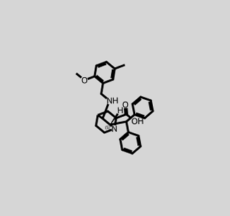 COc1ccc(C)cc1CNC1C2CCN(C(C(=O)O)C2)[C@H]1C(c1ccccc1)c1ccccc1